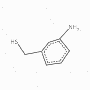 Nc1cccc(CS)c1